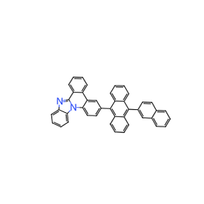 c1ccc2cc(-c3c4ccccc4c(-c4ccc5c(c4)c4ccccc4c4nc6ccccc6n54)c4ccccc34)ccc2c1